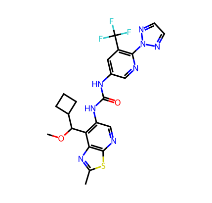 COC(c1c(NC(=O)Nc2cnc(-n3nccn3)c(C(F)(F)F)c2)cnc2sc(C)nc12)C1CCC1